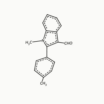 Cc1ccc(-c2c(C=O)c3ccccc3n2C)cc1